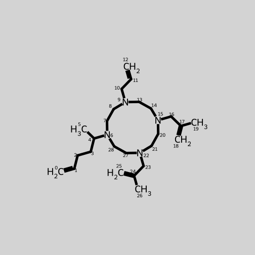 C=CCCC(C)N1CCN(CC=C)CCN(CC(=C)C)CCN(CC(=C)C)CC1